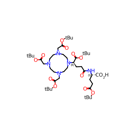 CC(C)(C)OC(=O)CC[C@H](NC(=O)CC[C@H](C(=O)OC(C)(C)C)N1CCN(CC(=O)OC(C)(C)C)CCN(CC(=O)OC(C)(C)C)CCN(CC(=O)OC(C)(C)C)CC1)C(=O)O